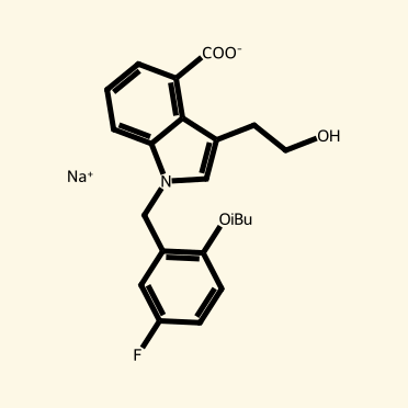 CC(C)COc1ccc(F)cc1Cn1cc(CCO)c2c(C(=O)[O-])cccc21.[Na+]